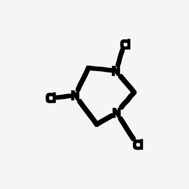 ClN1CN(Cl)CN(Cl)C1